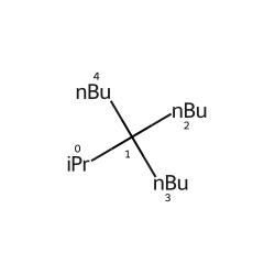 [CH2]C(C)C(CCCC)(CCCC)CCCC